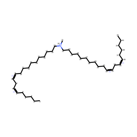 CCCCC/C=C\C/C=C\CCCCCCCCCCN(C)CCCCCCCCCC/C=C\C/C=C\CCCCC